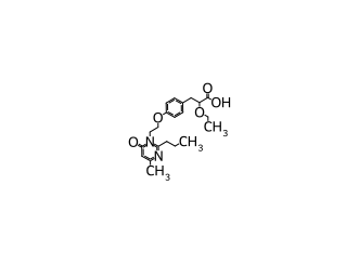 CCCc1nc(C)cc(=O)n1CCOc1ccc(CC(OCC)C(=O)O)cc1